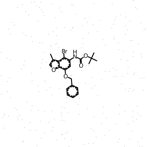 Cc1coc2c(OCc3ccccc3)cc(NC(=O)OC(C)(C)C)c(Br)c12